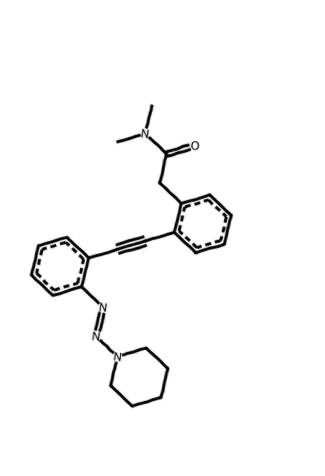 CN(C)C(=O)Cc1ccccc1C#Cc1ccccc1N=NN1CCCCC1